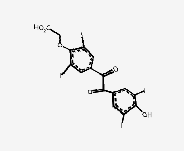 O=C(O)COc1c(I)cc(C(=O)C(=O)c2cc(I)c(O)c(I)c2)cc1I